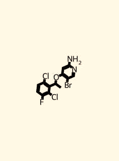 CC(Oc1cc(N)ncc1Br)c1c(Cl)ccc(F)c1Cl